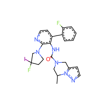 CC1CN(C(=O)Nc2c(-c3ccccc3F)ccnc2N2CCC(F)(I)C2)Cc2ccnn21